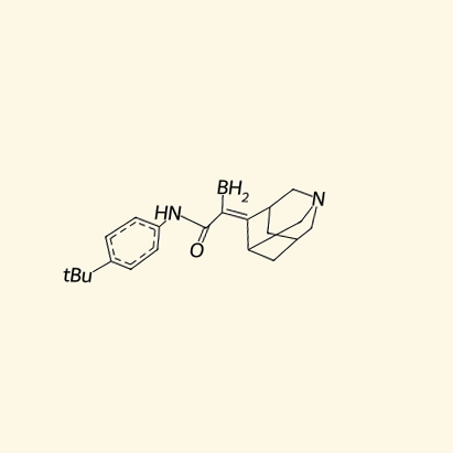 BC(C(=O)Nc1ccc(C(C)(C)C)cc1)=C1C2CC3CC1CN(C3)C2